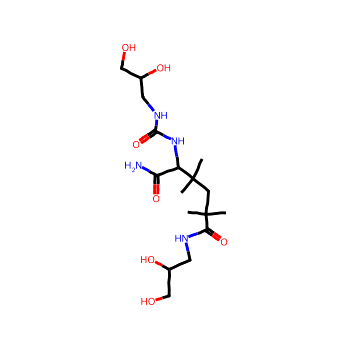 CC(C)(CC(C)(C)C(NC(=O)NCC(O)CO)C(N)=O)C(=O)NCC(O)CO